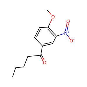 CCCCC(=O)c1ccc(OC)c([N+](=O)[O-])c1